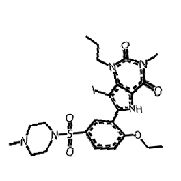 CCCn1c(=O)n(C)c(=O)c2[nH]c(-c3cc(S(=O)(=O)N4CCN(C)CC4)ccc3OCC)c(I)c21